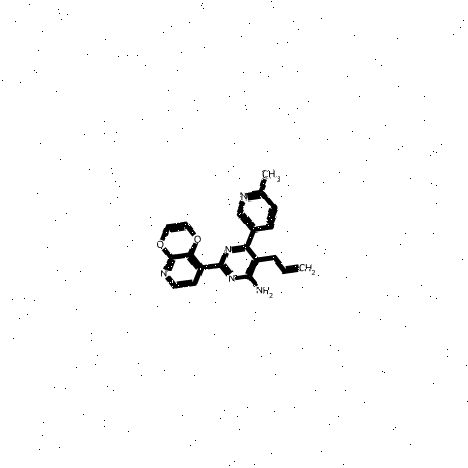 C=CCc1c(N)nc(-c2ccnc3c2OC=CO3)nc1-c1ccc(C)nc1